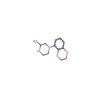 CC1CN(c2cccc3c2OCCO3)CCN1